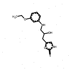 CCOc1cccc(NCC(O)Cc2c[nH]c(=S)o2)c1